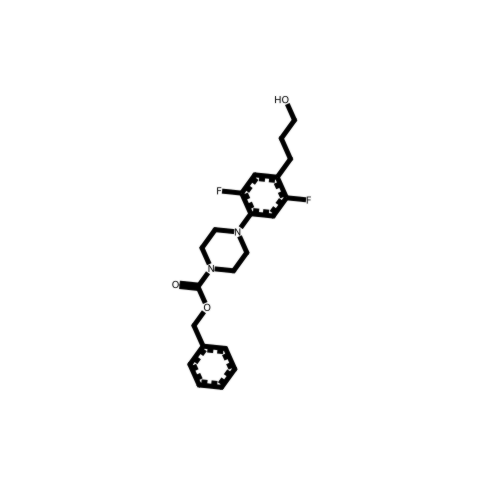 O=C(OCc1ccccc1)N1CCN(c2cc(F)c(CCCO)cc2F)CC1